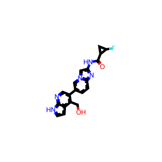 O=C(Nc1cn2cc(-c3cnc4[nH]ccc4c3CO)ccc2n1)C1CC1F